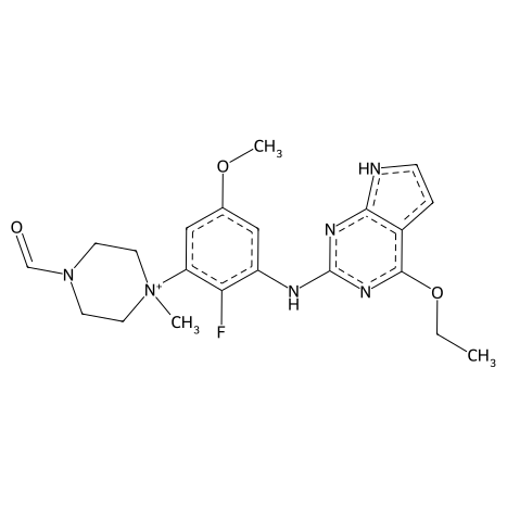 CCOc1nc(Nc2cc(OC)cc([N+]3(C)CCN(C=O)CC3)c2F)nc2[nH]ccc12